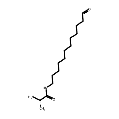 C[C@H](N)C(=O)NCCCCCCCCCCC[C]=O